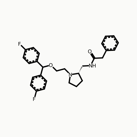 O=C(Cc1ccccc1)NC[C@@H]1CCCN1CCOC(c1ccc(F)cc1)c1ccc(F)cc1